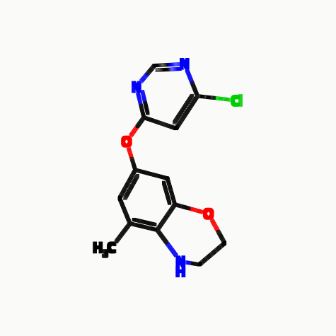 Cc1cc(Oc2cc(Cl)ncn2)cc2c1NCCO2